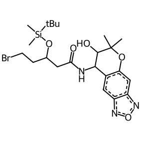 CC1(C)Oc2cc3nonc3cc2C(NC(=O)CC(CCBr)O[Si](C)(C)C(C)(C)C)C1O